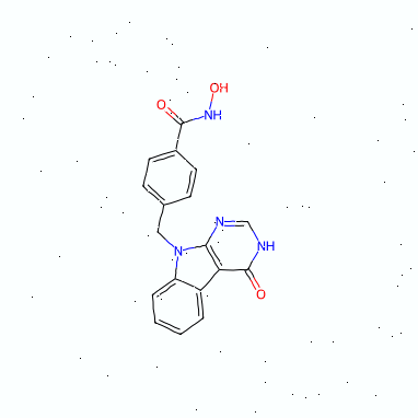 O=C(NO)c1ccc(Cn2c3ccccc3c3c(=O)[nH]cnc32)cc1